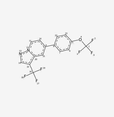 FC(F)(F)Oc1ccc(-c2ccn3ncc(C(F)(F)F)c3c2)cc1